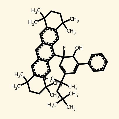 CC(C)(C)CC(C)(C)C1=CC(F)(c2c3cc4c(cc3cc3cc5c(cc23)C(C)(C)CCC5(C)C)C(C)(C)CCC4(C)C)C(O)C(c2ccccc2)=C1